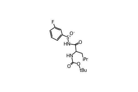 CC(C)CC(NC(=O)OC(C)(C)C)C(=O)N[S+]([O-])c1cccc(F)c1